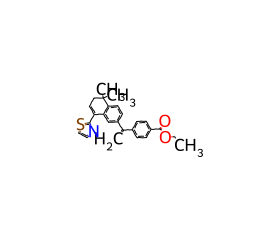 C=C(c1ccc(C(=O)OCC)cc1)c1ccc2c(c1)C(c1nccs1)=CCC2(C)C